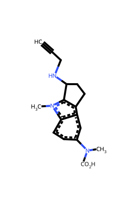 C#CCNC1CCc2c1n(C)c1ccc(N(C)C(=O)O)cc21